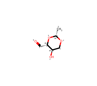 C[C@@H]1OC[C@@H](O)[C@H](C=O)O1